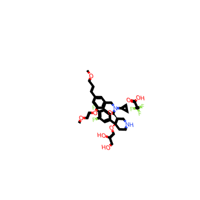 COCCCc1cc(CN(C(=O)[C@H]2CNCC[C@]2(OCC(O)CO)c2ccc(F)c(F)c2)C2CC2)cc(OCCOC)c1.O=C(O)C(F)(F)F